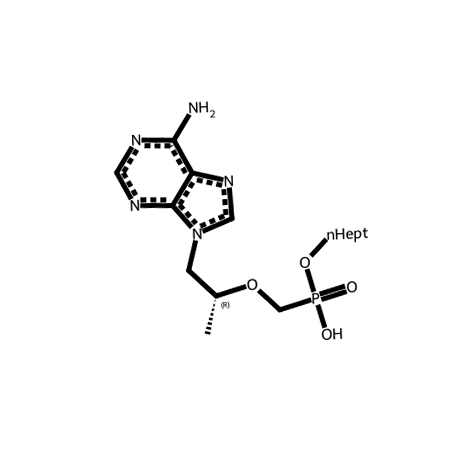 CCCCCCCOP(=O)(O)CO[C@H](C)Cn1cnc2c(N)ncnc21